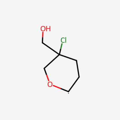 OCC1(Cl)CC[CH]OC1